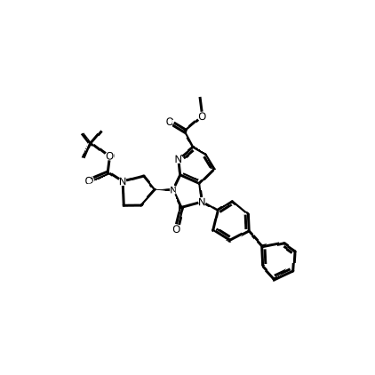 COC(=O)c1ccc2c(n1)n([C@H]1CCN(C(=O)OC(C)(C)C)C1)c(=O)n2-c1ccc(-c2ccccc2)cc1